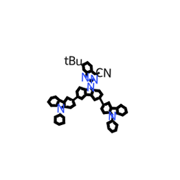 CC(C)(C)c1ccc2c(C#N)nc(-n3c4ccc(-c5ccc6c(c5)c5ccccc5n6-c5ccccc5)cc4c4cc(-c5ccc6c(c5)c5ccccc5n6-c5ccccc5)ccc43)nc2c1